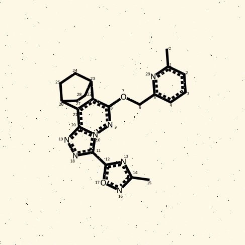 Cc1cccc(COc2nn3c(-c4nc(C)no4)nnc3c3c2C2CCC3CC2)n1